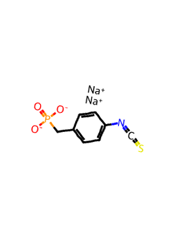 O=P([O-])([O-])Cc1ccc(N=C=S)cc1.[Na+].[Na+]